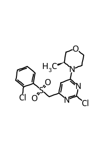 C[C@H]1COCCN1c1cc(CS(=O)(=O)c2ccccc2Cl)nc(Cl)n1